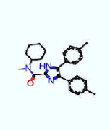 Cc1ccc(-c2nc(C(=O)N(C)C3CCCCC3)[nH]c2-c2ccc(C)cc2)cc1